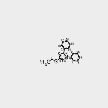 CCSC1=NN(c2ccccc2)C(c2ccccc2)S1